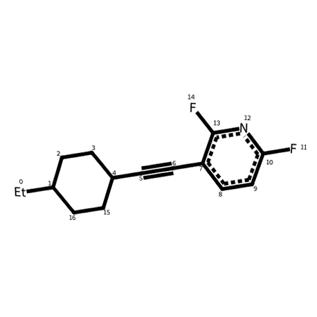 CCC1CCC(C#Cc2ccc(F)nc2F)CC1